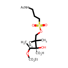 CCOC(=O)O[C@@H](C)[C@@](O)(C(=O)O)C(C)(C)COS(=O)(=O)CCCNC(C)=O